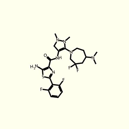 CN(C)C1CCN(C2=C(NC(=O)c3nc(-c4c(F)cccc4F)sc3N)CN(C)N2C)CC(F)(F)C1